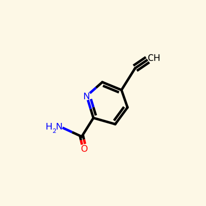 C#Cc1ccc(C(N)=O)nc1